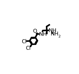 CCC(C)(CNC(=O)c1ccc(Cl)c(Cl)c1)NN